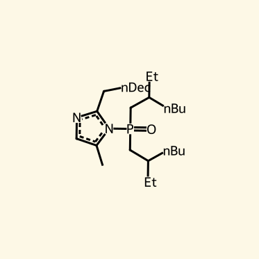 CCCCCCCCCCCc1ncc(C)n1P(=O)(CC(CC)CCCC)CC(CC)CCCC